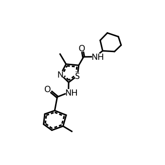 Cc1cccc(C(=O)Nc2nc(C)c(C(=O)NC3CCCCC3)s2)c1